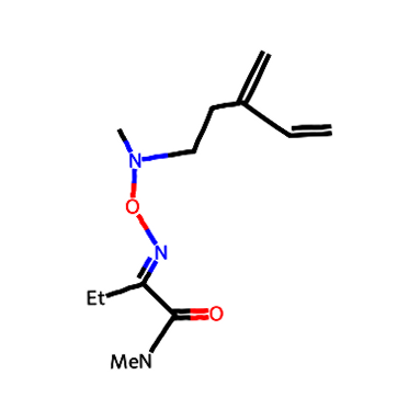 C=CC(=C)CCN(C)O/N=C(\CC)C(=O)NC